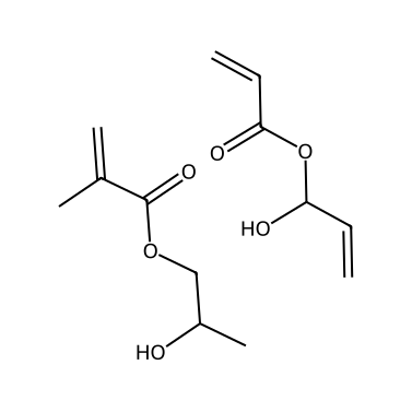 C=C(C)C(=O)OCC(C)O.C=CC(=O)OC(O)C=C